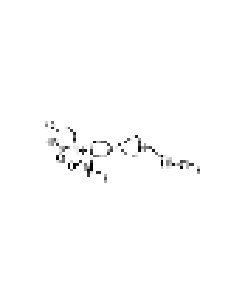 CNCCCN1CCN(c2ccc3c(c2)n(C)c(=O)n3C2CCC(=O)NC2=O)CC1